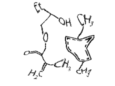 C=C(C)C(=O)OCC(O)CC.Cc1ccc(C)cc1